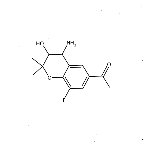 CC(=O)c1cc(I)c2c(c1)C(N)C(O)C(C)(C)O2